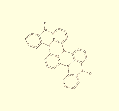 [O-][S+]1c2ccccc2N2c3cccc4c3B(c3cccc1c32)c1cccc2c1N4c1ccccc1[S+]2[O-]